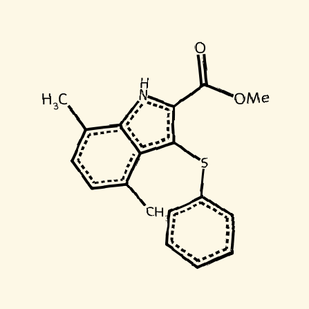 COC(=O)c1[nH]c2c(C)ccc(C)c2c1Sc1ccccc1